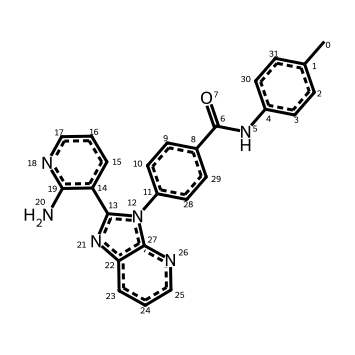 Cc1ccc(NC(=O)c2ccc(-n3c(-c4cccnc4N)nc4cccnc43)cc2)cc1